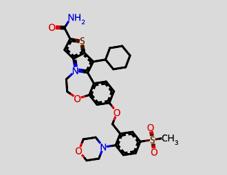 CS(=O)(=O)c1ccc(N2CCOCC2)c(COc2ccc3c(c2)OCCn2c-3c(C3CCCCC3)c3sc(C(N)=O)cc32)c1